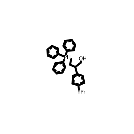 CCCc1ccc(C(CO)CC[PH](c2ccccc2)(c2ccccc2)c2ccccc2)cc1